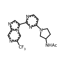 CC(=O)NC1CCN(c2ccnc(-c3cnc4cnc(C(F)(F)F)cn34)n2)C1